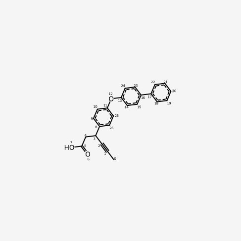 CC#CC(CC(=O)O)c1ccc(Oc2ccc(-c3ccccc3)cc2)cc1